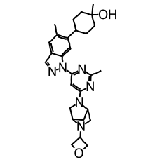 Cc1nc(N2CC3CC2CN3C2COC2)cc(-n2ncc3cc(C)c(C4CCC(C)(O)CC4)cc32)n1